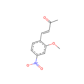 COc1cc([N+](=O)[O-])ccc1C=CC(C)=O